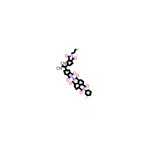 [C-]#[N+]/C(C#N)=C(/c1ccc2c(c1)C(=O)N(CCCF)C2=O)c1ccc2c(c1)C(=O)N(N1C(=O)c3ccc4c5c(ccc(c35)C1=O)C(=O)N(c1cc(F)ccc1F)C4=O)C2=O